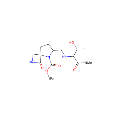 CNC(=O)C(NCC1CCC2(CNC2=O)N1C(=O)OC(C)(C)C)C(C)O